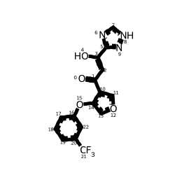 O=C(C=C(O)c1nc[nH]n1)c1cocc1Oc1cccc(C(F)(F)F)c1